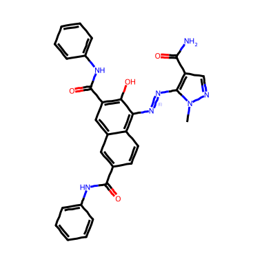 Cn1ncc(C(N)=O)c1/N=N/c1c(O)c(C(=O)Nc2ccccc2)cc2cc(C(=O)Nc3ccccc3)ccc12